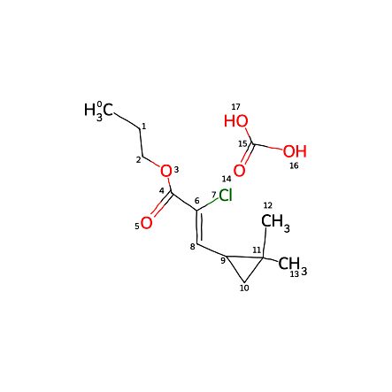 CCCOC(=O)C(Cl)=CC1CC1(C)C.O=C(O)O